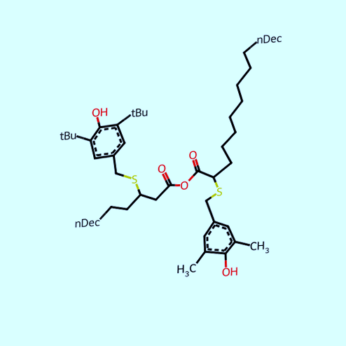 CCCCCCCCCCCCCCCCCCC(SCc1cc(C)c(O)c(C)c1)C(=O)OC(=O)CC(CCCCCCCCCCCC)SCc1cc(C(C)(C)C)c(O)c(C(C)(C)C)c1